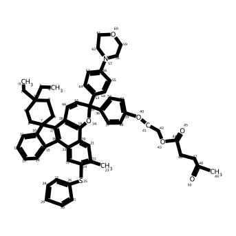 CCC1(CC)CCC2(CC1)c1ccccc1-c1c2c2c(c3cc(C)c(Sc4ccccc4)cc13)OC(c1ccc(OCCOC(=O)CCC(C)=O)cc1)(c1ccc(N3CCOCC3)cc1)C=C2